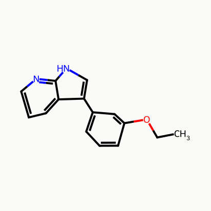 CCOc1cccc(-c2c[nH]c3ncccc23)c1